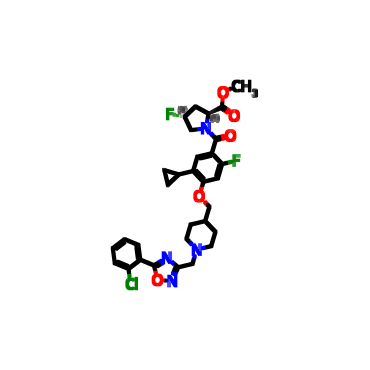 COC(=O)[C@@H]1C[C@@H](F)CN1C(=O)c1cc(C2CC2)c(OCC2CCN(Cc3noc(-c4ccccc4Cl)n3)CC2)cc1F